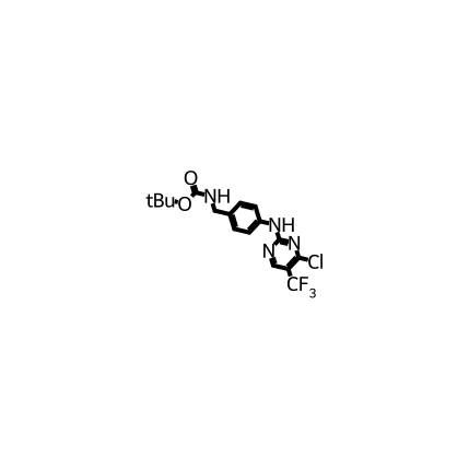 CC(C)(C)OC(=O)NCc1ccc(Nc2ncc(C(F)(F)F)c(Cl)n2)cc1